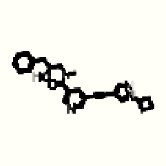 CN(C[C@@H](O)Cc1ccccc1)C(=O)c1cncc(C#Cc2cnn(C3CCC3)c2)c1